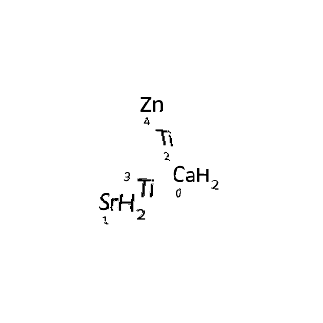 [CaH2].[SrH2].[Ti].[Ti].[Zn]